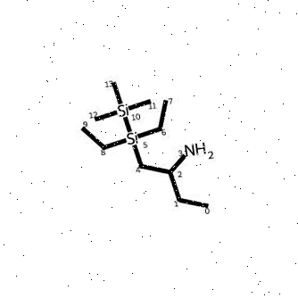 CCC(N)C[Si](CC)(CC)[Si](C)(C)C